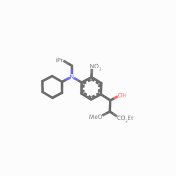 CCOC(=O)C(OC)C(O)c1ccc(N(CC(C)C)C2CCCCC2)c([N+](=O)[O-])c1